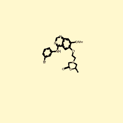 COc1cc2ncnc(Nc3cccc(Br)c3)c2cc1OCCN1CC(=O)OC(C)C1